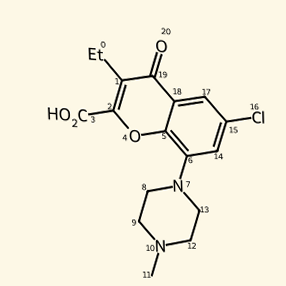 CCc1c(C(=O)O)oc2c(N3CCN(C)CC3)cc(Cl)cc2c1=O